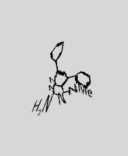 CNc1nc(N)nc2nc(-c3ccccc3)cc(-c3ccccc3)c12